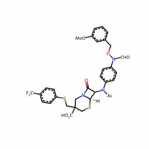 COc1cccc(CON(C=O)c2ccc(N(C(C)=O)C3C(=O)N4CC(CSc5ccc(C(F)(F)F)cc5)(C(=O)O)CS[C@H]34)cc2)c1